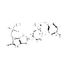 Cc1nc2c(n1CC(C)(C)O)CN([C@H]1CO[C@H](c3cc(F)ccc3F)[C@@H](N)C1)C2